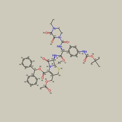 CCN1CCN(C(=O)N[C@H](C(=O)N[C@@H]2C(=O)N3C(C(=O)OC(c4ccccc4)c4ccccc4)=C(COC(C)=O)CS[C@H]23)c2ccc(NC(=O)OC(C)(C)C)cc2)C(=O)C1=O